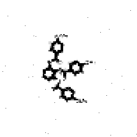 COc1ccc(C(=O)Nc2cccc(OC(=O)c3ccc(OC)cc3)c2NC(=O)c2ccc(OC)cc2)cc1